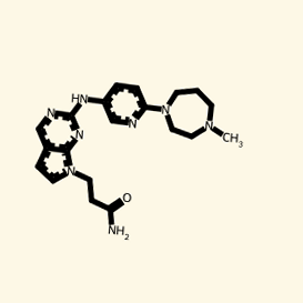 CN1CCCN(c2ccc(Nc3ncc4ccn(CCC(N)=O)c4n3)cn2)CC1